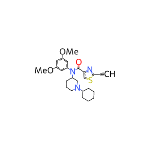 C#Cc1nc(C(=O)N(c2cc(OC)cc(OC)c2)[C@@H]2CCCN(C3CCCCC3)C2)cs1